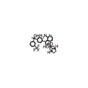 C[C@@](O)(c1ccc(-c2nc([C@@H]3C[C@H]4CC[C@@H](C3)C4C(=O)O)n3ccnc(N)c23)cc1)c1cccc(C(F)(F)F)c1